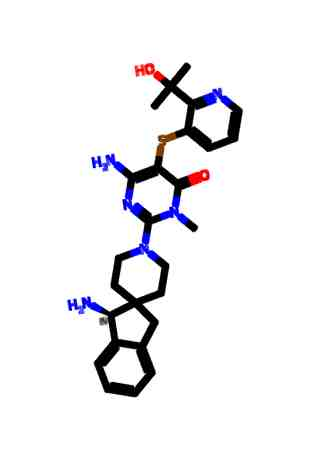 Cn1c(N2CCC3(CC2)Cc2ccccc2[C@H]3N)nc(N)c(Sc2cccnc2C(C)(C)O)c1=O